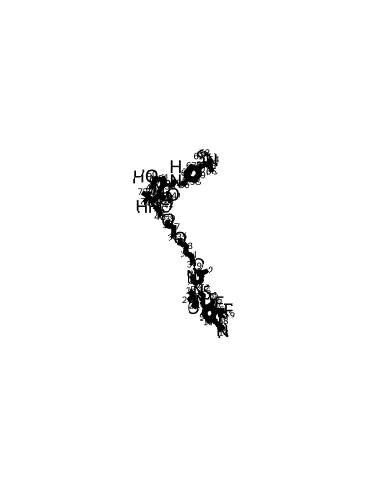 Cc1cc(N2C(=S)N(c3ccc(C#N)c(C(F)(F)F)c3F)C(=O)C2(C)C)cnc1OCCCCCOCCCOCC(=O)N[C@H](C(=O)N1C[C@H](O)C[C@H]1C(=O)NCc1ccc(-c2scnc2C)cc1)C(C)(C)C